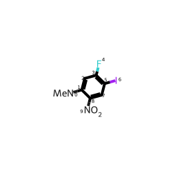 CNc1cc(F)c(I)cc1[N+](=O)[O-]